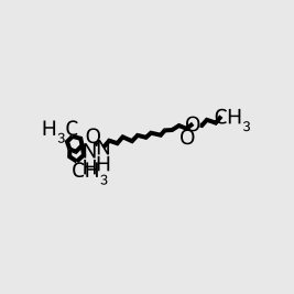 CCCCOC(=O)CCCCCCCCCCCNC(=O)NC12CC(C)CC(CC(C)C1)C2